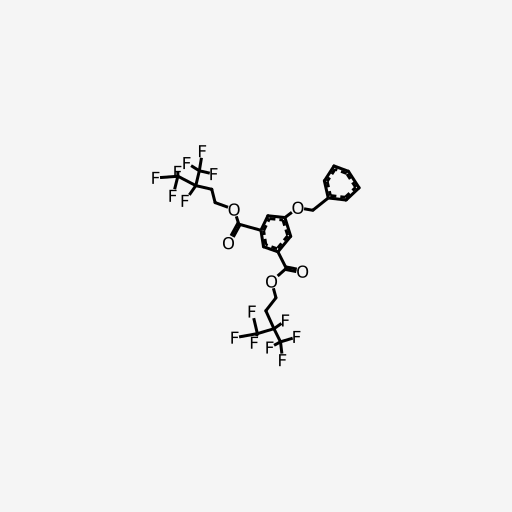 O=C(OCCC(F)(C(F)(F)F)C(F)(F)F)c1cc(OCc2ccccc2)cc(C(=O)OCCC(F)(C(F)(F)F)C(F)(F)F)c1